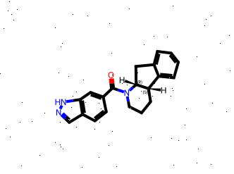 O=C(c1ccc2cn[nH]c2c1)N1CCC[C@H]2c3ccccc3C[C@H]21